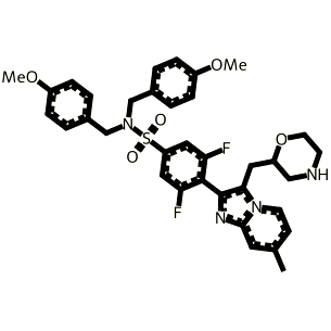 COc1ccc(CN(Cc2ccc(OC)cc2)S(=O)(=O)c2cc(F)c(-c3nc4cc(C)ccn4c3CC3CNCCO3)c(F)c2)cc1